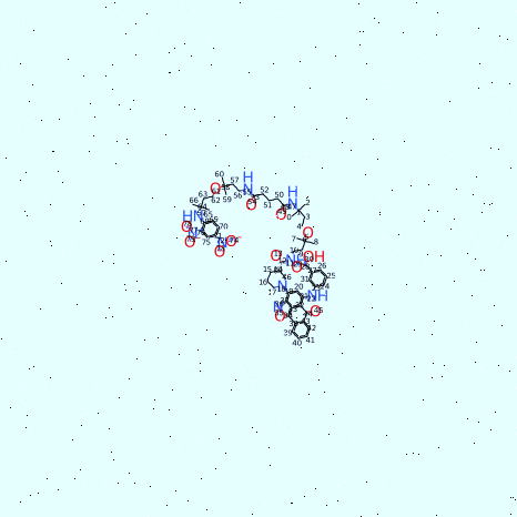 CC(C)(CCOC(C)(C)CCNC(=O)[C@H]1CCCN(c2cc(Nc3cccc(C(=O)O)c3)c3c4c(onc24)-c2ccccc2C3=O)C1)NC(=O)CCCC(=O)NCCC(C)(C)OCCC(C)(C)Nc1ccc([N+](=O)[O-])cc1[N+](=O)[O-]